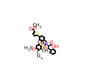 COC(=O)c1ccc(-c2ccc(CN(C(Cc3ccccc3)C(=O)O)S(=O)(=O)c3c(C)cc(OC)c(C)c3C)cc2)s1